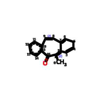 C/C1=C2\C=CCC=C2/C=C\c2ccccc2C1=O